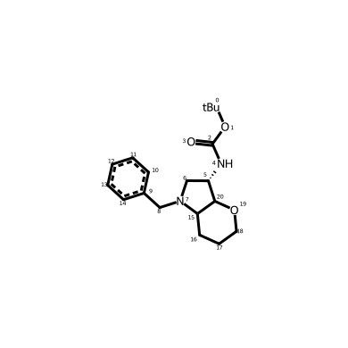 CC(C)(C)OC(=O)N[C@H]1CN(Cc2ccccc2)C2CCCOC21